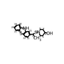 CC(SN1CCC(O)CC1)c1ccc2c(c1)Nc1ccccc1S2